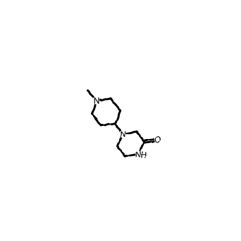 CN1CCC(N2CCNC(=O)C2)CC1